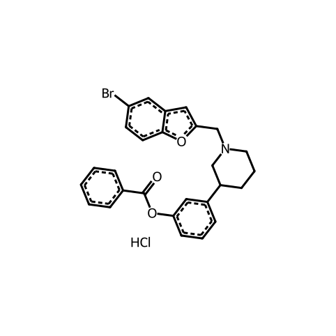 Cl.O=C(Oc1cccc(C2CCCN(Cc3cc4cc(Br)ccc4o3)C2)c1)c1ccccc1